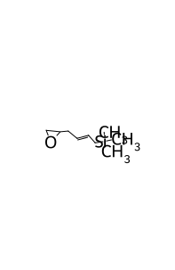 C[Si](C)(C)CC=CCC1CO1